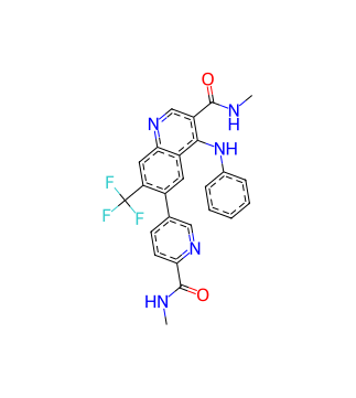 CNC(=O)c1ccc(-c2cc3c(Nc4ccccc4)c(C(=O)NC)cnc3cc2C(F)(F)F)cn1